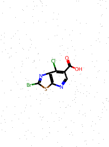 O=C(O)c1cnc2sc(Br)nc2c1Cl